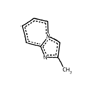 Cc1cn2cc[c]cc2n1